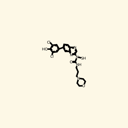 O=C(NCCCN1CCOCC1)N(S)c1cnc2ccc(-c3cc(Cl)c(O)c(Cl)c3)cc2n1